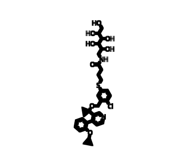 O=C(CCCSc1ccc(Cl)c(COC2(c3cnccc3-c3ccccc3OC3CC3)CC2)c1)NCC(O)C(O)C(O)C(O)CO